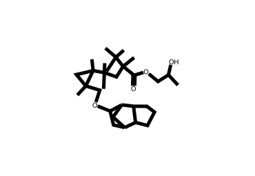 CC(O)COC(=O)C(C)(CC(C)(C)C1(C)CC1(C)COC1CC2CC1C1CCCC21)C(C)(C)C